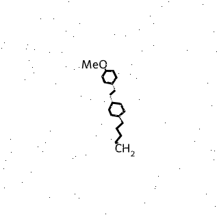 C=CCCC[C@H]1CC[C@H](CC[C@H]2CC[C@H](OC)CC2)CC1